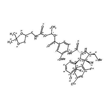 COc1cc(C(=O)OC(C)OC(=O)NCC2COC(C)(C)O2)ccc1NC(=O)[C@@H]1N[C@@H](CC(C)(C)C)[C@](C#N)(c2ccc(Cl)cc2F)[C@H]1c1cccc(Cl)c1F